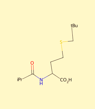 CC(C)C(=O)NC(CCSCC(C)(C)C)C(=O)O